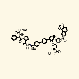 C=C(N/C=C(/c1ccc(-c2ccc(-c3c[nH]c([C@@H]4CN(C(=O)N5Cc6ccc7c(c6C5)OCO7)CN4C(=O)CNC(=O)OC)n3)cc2)cc1)C(C)CC)C1CCCN1C(=O)C(NC(=O)OC)c1ccccc1